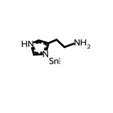 NCCc1c[nH]cn1.[Sn]